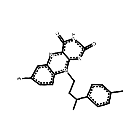 Cc1ccc(C(C)CCn2c3nc(=O)[nH]c(=O)c-3nc3cc(C(C)C)ccc32)cc1